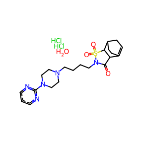 Cl.Cl.O.O=C1C2C3=CCC(CC3)C2S(=O)(=O)N1CCCCN1CCN(c2ncccn2)CC1